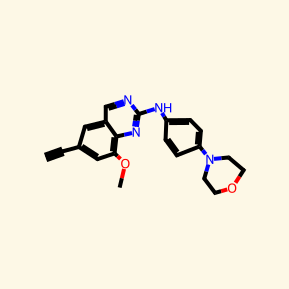 C#Cc1cc(OC)c2nc(Nc3ccc(N4CCOCC4)cc3)ncc2c1